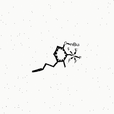 C=CCCc1ccc(OCCCC)c(S(F)(F)(F)(F)F)c1C